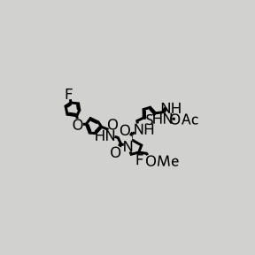 COC[C@@]1(F)C[C@@H](C(=O)NCc2ccc(C(=N)NOC(C)=O)s2)N(C(=O)CNC(=O)c2ccc(Oc3ccc(F)cc3)cc2)C1